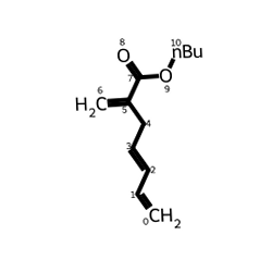 C=CC=CCC(=C)C(=O)OCCCC